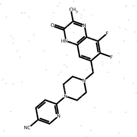 Cc1nc2c(F)c(F)c(CN3CCN(c4ccc(C#N)cn4)CC3)cc2[nH]c1=O